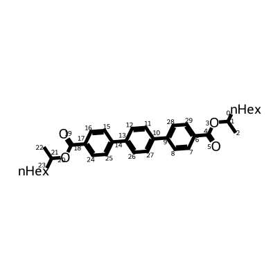 CCCCCCC(C)OC(=O)c1ccc(-c2ccc(-c3ccc(C(=O)OC(C)CCCCCC)cc3)cc2)cc1